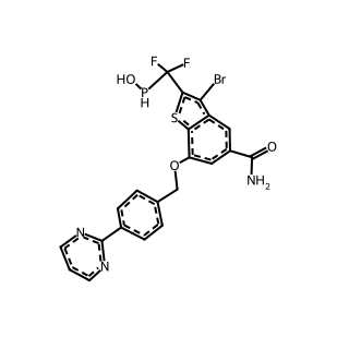 NC(=O)c1cc(OCc2ccc(-c3ncccn3)cc2)c2sc(C(F)(F)PO)c(Br)c2c1